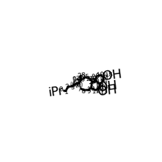 CC(C)CCC[C@H](C)[C@H]1CCCC2C[C@@H](O)[C@]3(O)C[C@@H](O)CC[C@]3(C)C2CCC1(C)C